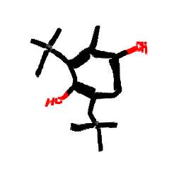 Cc1c(O)cc([Si](C)(C)C)c(O)c1[Si](C)(C)C